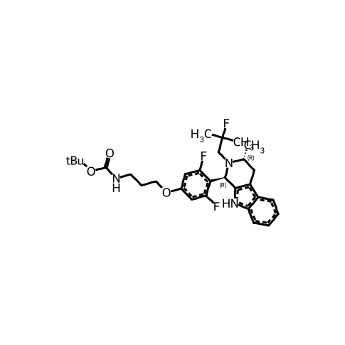 C[C@@H]1Cc2c([nH]c3ccccc23)[C@@H](c2c(F)cc(OCCCNC(=O)OC(C)(C)C)cc2F)N1CC(C)(C)F